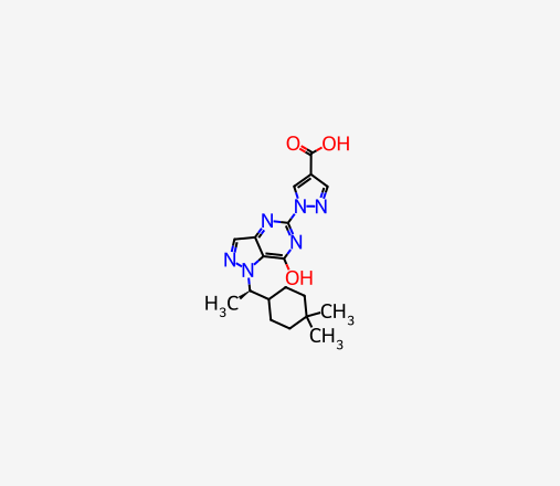 C[C@H](C1CCC(C)(C)CC1)n1ncc2nc(-n3cc(C(=O)O)cn3)nc(O)c21